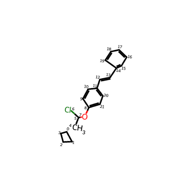 C1CCC1.CC(Cl)Oc1ccc(C=Cc2ccccc2)cc1